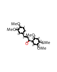 COc1ccc(/C=C/C(=O)c2cc(OC)c(SC)cc2OC)cc1OC